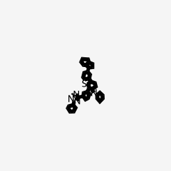 C1=c2ccccc2=C(c2ccc3sc4c(ccc5c4c4cc(-c6ncnc(-c7ccccc7)n6)ccc4n5-c4ccccc4)c3c2)C1